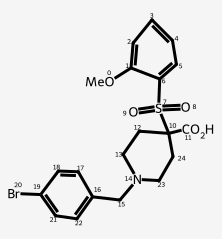 COc1ccccc1S(=O)(=O)C1(C(=O)O)CCN(Cc2ccc(Br)cc2)CC1